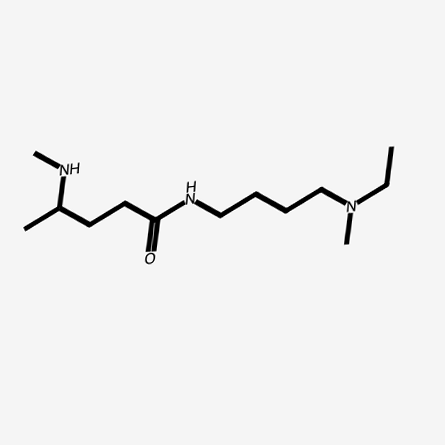 CCN(C)CCCCNC(=O)CCC(C)NC